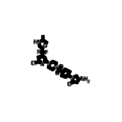 CC1COC(C(F)(F)c2cc(Cl)nc(N3CCN(S(=O)(=O)c4ccc(N5C[C@H](N)CC5=O)cc4)CC3)c2)CN1